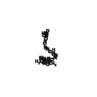 Cc1cc(-c2ncnc3[nH]c(-c4ccc(N5CCN(CC6CCN(c7ccc(N8CCC(=O)NC8=O)cc7)CC6)CC5)cc4)cc23)ccc1[C@@H](C)NC(=O)c1noc(C(C)(C)C(F)(F)F)n1